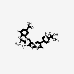 Cc1nc2nc(F)c(-c3cnc(C(C)(C)O)nc3)cn2c1CN1C(=O)[C@@H](C)Oc2c(F)cc(C(=O)O)cc21